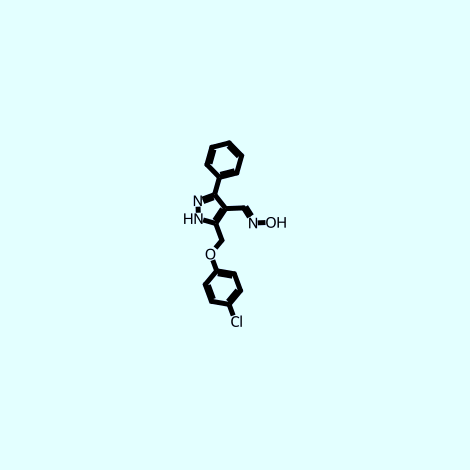 ON=Cc1c(-c2ccccc2)n[nH]c1COc1ccc(Cl)cc1